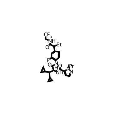 CCC(C(=O)NCC(F)(F)F)c1ccc(NC(=O)C(NC(=O)c2ccnn2C(C)C)C(C2CC2)C2CC2)c(F)c1